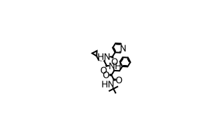 CC(C)(C)NC(=O)C(=O)C(Cc1ccccc1)NC(=O)[C@H](CC1CC1)NC(=O)c1cccnc1